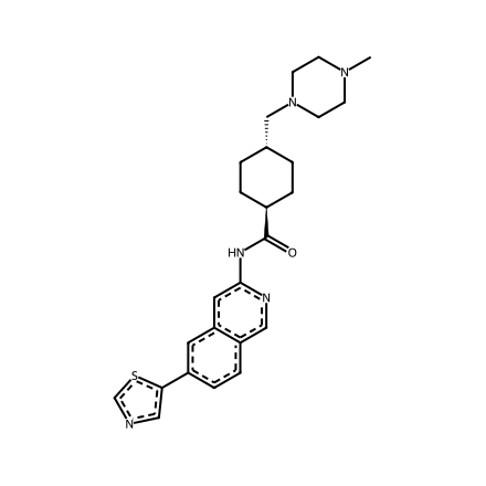 CN1CCN(C[C@H]2CC[C@H](C(=O)Nc3cc4cc(-c5cncs5)ccc4cn3)CC2)CC1